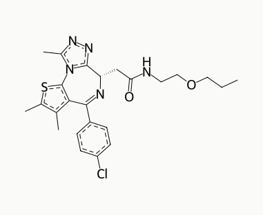 CCCOCCNC(=O)C[C@@H]1N=C(c2ccc(Cl)cc2)c2c(sc(C)c2C)-n2c(C)nnc21